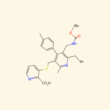 Cc1ccc(-c2c(CSc3cccnc3C(=O)O)c(C)nc(CC(C)C)c2CNC(=O)OC(C)(C)C)cc1